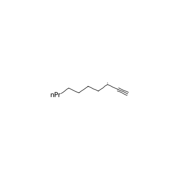 C#C[CH]CCCCCCC